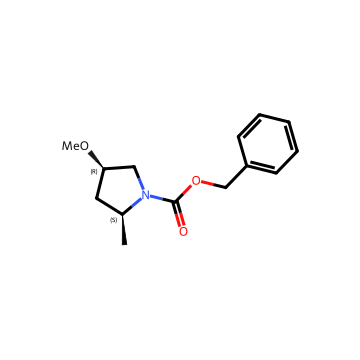 CO[C@@H]1C[C@H](C)N(C(=O)OCc2ccccc2)C1